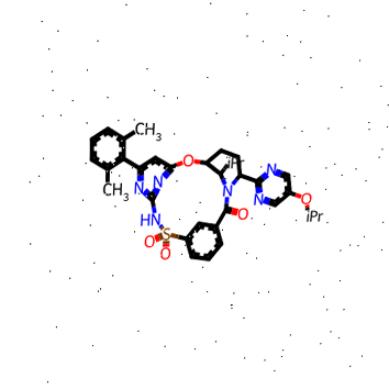 Cc1cccc(C)c1-c1cc2nc(n1)NS(=O)(=O)c1cccc(c1)C(=O)N1C(c3ncc(OC(C)C)cn3)CCC(O2)C1C(C)C